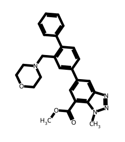 COC(=O)c1cc(-c2ccc(-c3ccccc3)c(CN3CCOCC3)c2)cc2nnn(C)c12